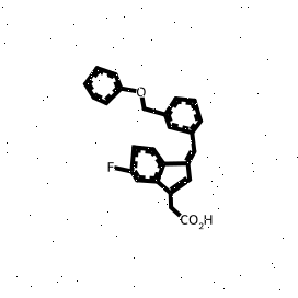 O=C(O)CC1=C/C(=C/c2cccc(COc3ccccc3)c2)c2ccc(F)cc21